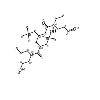 C=C([C@@H](CC(CC(=O)N(CC)CCN=O)CC(C)(C)C)CC(C)(C)O)N(CCC)CCO